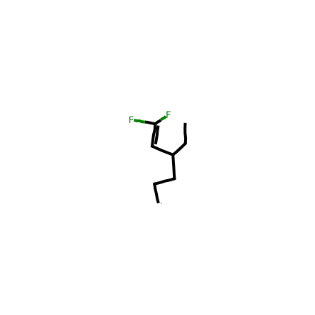 [CH2]CCC(C=C(F)F)CC